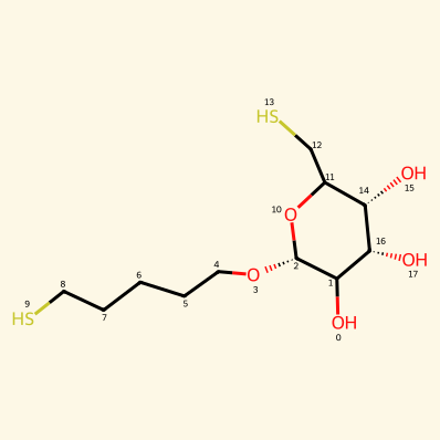 OC1[C@H](OCCCCCS)OC(CS)[C@H](O)[C@@H]1O